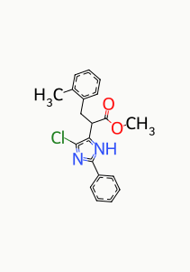 COC(=O)C(Cc1ccccc1C)c1[nH]c(-c2ccccc2)nc1Cl